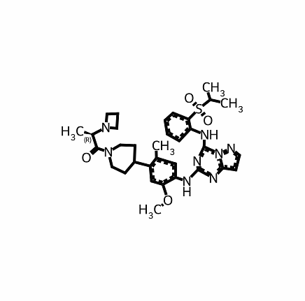 COc1cc(C2CCN(C(=O)[C@@H](C)N3CCC3)CC2)c(C)cc1Nc1nc(Nc2ccccc2S(=O)(=O)C(C)C)n2nccc2n1